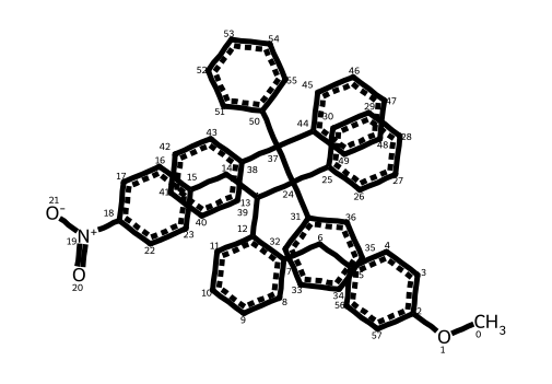 COc1ccc(Cc2ccccc2[C](Cc2ccc([N+](=O)[O-])cc2)C(c2ccccc2)(c2ccccc2)C(c2ccccc2)(c2ccccc2)c2ccccc2)cc1